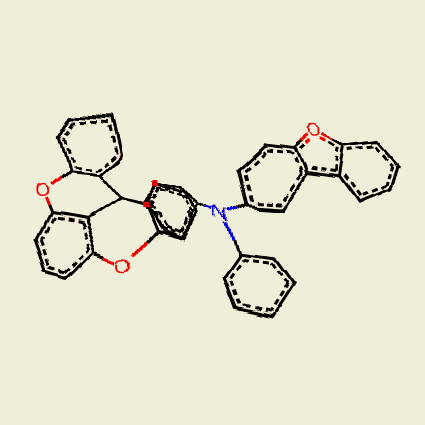 c1ccc(N(c2ccc(C34c5ccccc5Oc5cccc(c53)Oc3ccccc34)cc2)c2ccc3oc4ccccc4c3c2)cc1